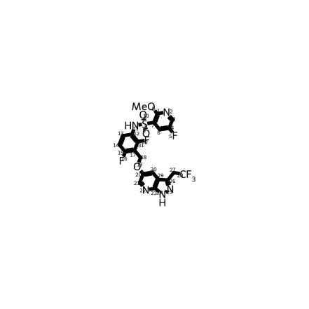 COc1ncc(F)cc1S(=O)(=O)Nc1ccc(F)c(COc2cnc3[nH]nc(CC(F)(F)F)c3c2)c1F